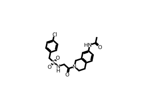 CC(=O)Nc1ccc2c(c1)CN(C(=O)CNS(=O)(=O)Cc1ccc(Cl)cc1)CC2